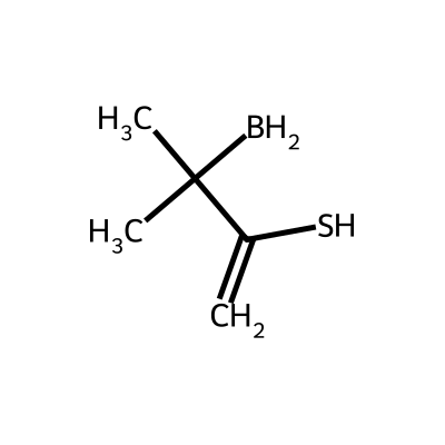 BC(C)(C)C(=C)S